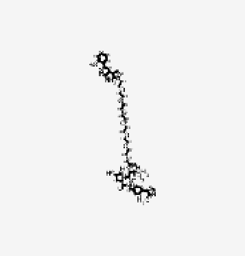 Cc1ncsc1-c1ccc(CNC(=O)[C@@H]2C[C@@H](O)CN2C(=O)[C@@H](NC(=O)COCCOCCOCCOCCOCCOCCOCCn2cc(-c3cc(-c4ccccc4O)nnc3N)cn2)C(C)(C)C)cc1